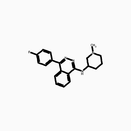 CN1CCCC(Nc2nnc(-c3ccc(F)cc3)c3ccccc23)C1